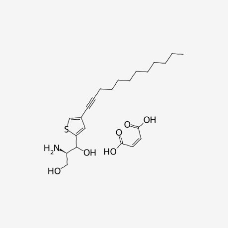 CCCCCCCCCCC#Cc1csc(C(O)[C@H](N)CO)c1.O=C(O)/C=C\C(=O)O